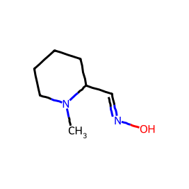 CN1CCCCC1/C=N/O